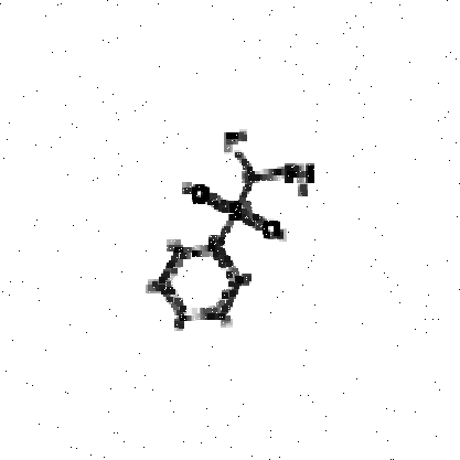 O=S(=O)(C(F)=P)c1ccccc1